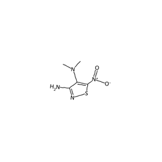 CN(C)c1c(N)nsc1[N+](=O)[O-]